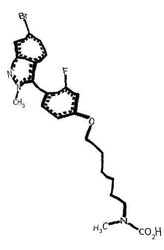 CN(CCCCCCOc1ccc(-c2c3ccc(Br)cc3nn2C)c(F)c1)C(=O)O